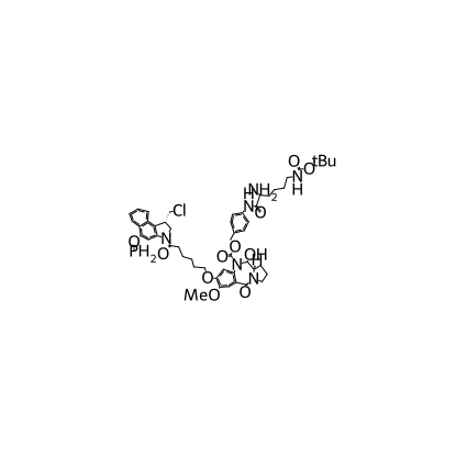 COc1cc2c(cc1OCCCCCC(=O)N1C[C@@H](CCl)c3c1cc(OP)c1ccccc31)N(C(=O)OCc1ccc(NC(=O)[C@@H](N)CCCCNC(=O)OC(C)(C)C)cc1)C(O)[C@@H]1CCCN1C2=O